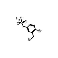 CS(=O)(=O)Cc1ccc(Br)c(CBr)c1